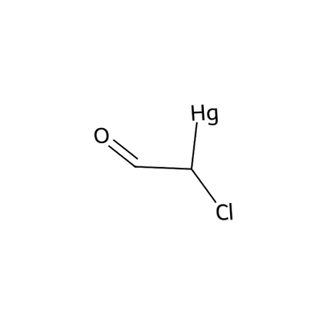 O=C[CH](Cl)[Hg]